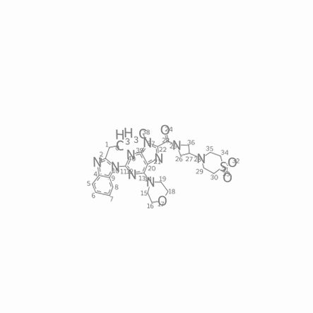 CCc1nc2ccccc2n1-c1nc(N2CCOCC2)c2nc(C(=O)N3CC(N4CCS(=O)(=O)CC4)C3)n(C)c2n1